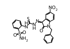 NS(=O)(=O)c1ccccc1NC(=S)NN=C1C(=O)N(Cc2ccccc2)c2ccc([N+](=O)[O-])cc21